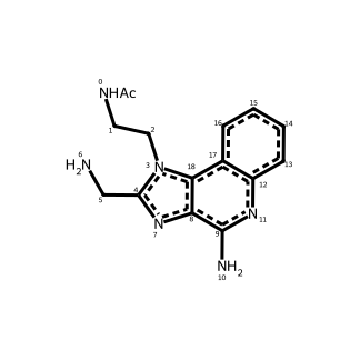 CC(=O)NCCn1c(CN)nc2c(N)nc3ccccc3c21